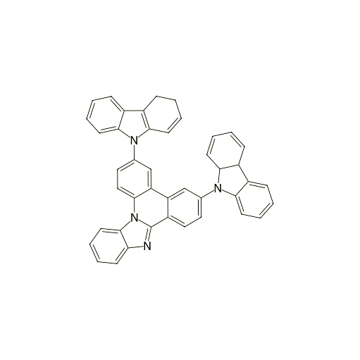 C1=CC2c3ccccc3N(c3ccc4c(c3)c3cc(-n5c6c(c7ccccc75)CCC=C6)ccc3n3c5ccccc5nc43)C2C=C1